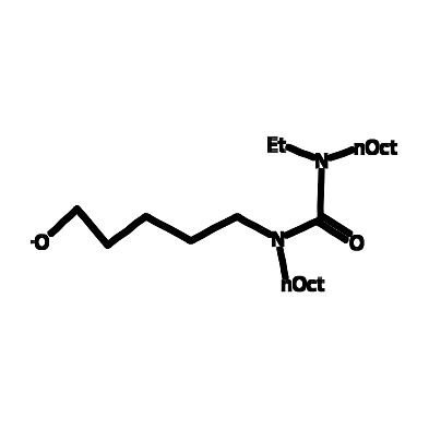 CCCCCCCCN(CC)C(=O)N(CCCCC[O])CCCCCCCC